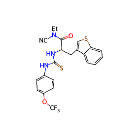 CCN(C#N)C(=O)C(Cc1csc2ccccc12)NC(=S)Nc1ccc(OC(F)(F)F)cc1